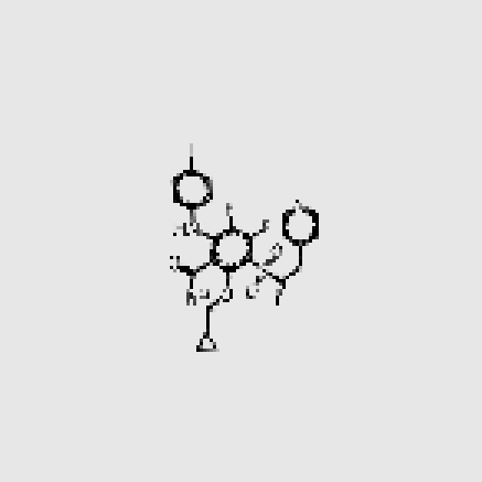 CN(Cc1ccncc1)S(=O)(=O)c1c(F)c(F)c(Nc2ccc(I)cc2)c(C(N)=O)c1OCC1CC1